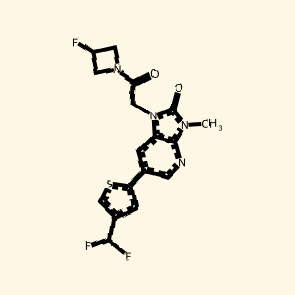 Cn1c(=O)n(CC(=O)N2CC(F)C2)c2cc(-c3cc(C(F)F)cs3)cnc21